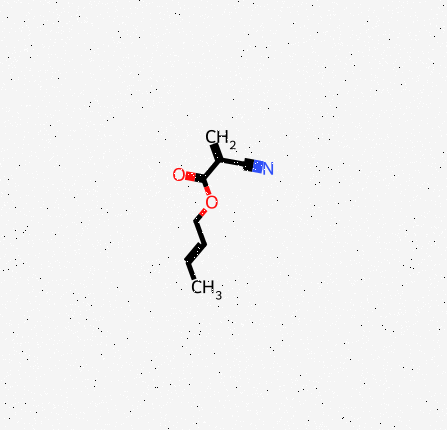 C=C(C#N)C(=O)OC/C=C/C